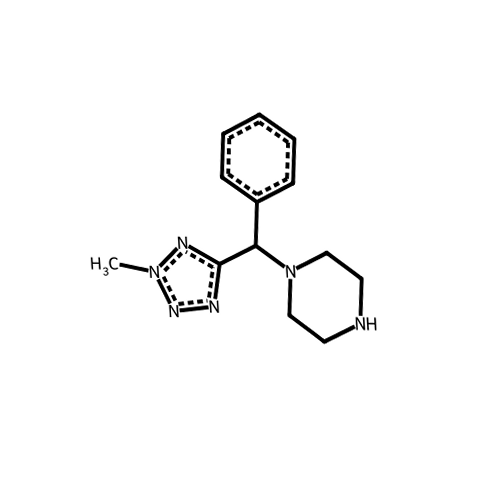 Cn1nnc(C(c2ccccc2)N2CCNCC2)n1